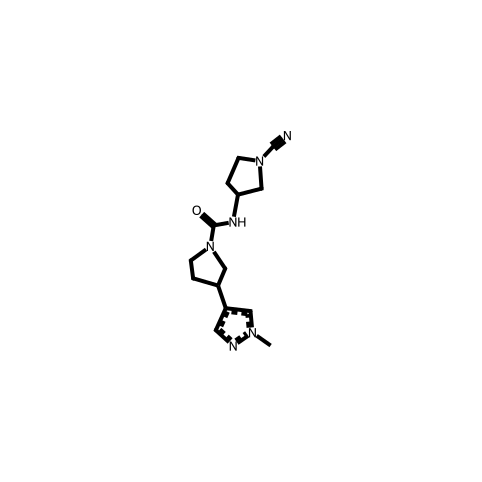 Cn1cc(C2CCN(C(=O)NC3CCN(C#N)C3)C2)cn1